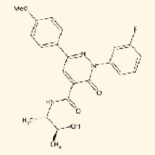 COc1ccc(-c2cc(C(=O)N[C@@H](C)[C@H](C)O)c(=O)n(-c3cccc(F)c3)n2)cc1